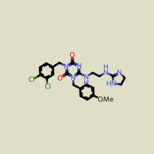 COc1ccc(Cn2c(NCCNC3=NCCN3)nc(=O)n(Cc3ccc(Cl)c(Cl)c3)c2=O)cc1